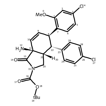 COc1cc(Cl)ccc1[C@@H]1C=C[C@@]2(N)C(=O)N(C(=O)OC(C)(C)C)C[C@H]2[C@H]1c1ccc(Cl)cc1